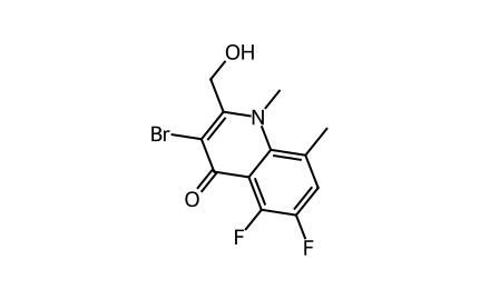 Cc1cc(F)c(F)c2c(=O)c(Br)c(CO)n(C)c12